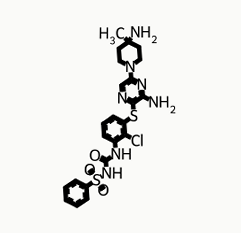 CC1(N)CCN(c2cnc(Sc3cccc(NC(=O)NS(=O)(=O)c4ccccc4)c3Cl)c(N)n2)CC1